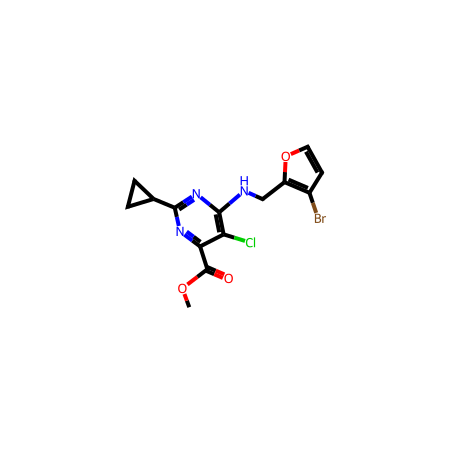 COC(=O)c1nc(C2CC2)nc(NCc2occc2Br)c1Cl